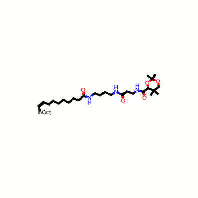 CCCCCCCC/C=C\CCCCCCCC(=O)NCCCCNC(=O)CCNC(=O)C1OC(C)(C)OCC1(C)C